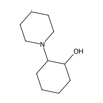 OC1CCCCC1N1CC[CH]CC1